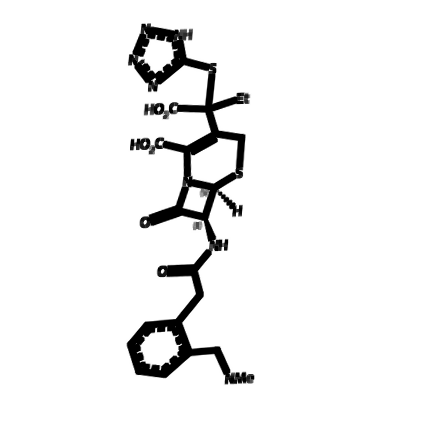 CCC(Sc1nnn[nH]1)(C(=O)O)C1=C(C(=O)O)N2C(=O)[C@H](NC(=O)Cc3ccccc3CNC)[C@@H]2SC1